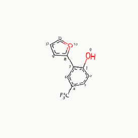 Oc1ccc(C(F)(F)F)cc1-c1ccco1